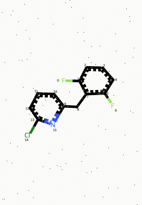 Fc1cccc(F)c1[CH]c1cccc(Cl)n1